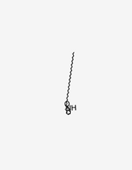 CCCCCCCCCCCCCCCCCCCCCCCCCCCCOCC1Cc2ccccc2N1